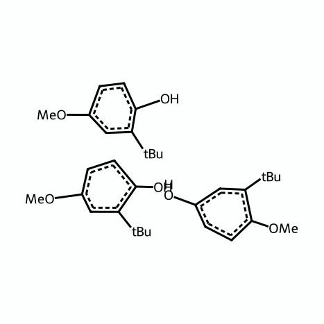 COc1ccc(O)c(C(C)(C)C)c1.COc1ccc(O)c(C(C)(C)C)c1.COc1ccc(O)cc1C(C)(C)C